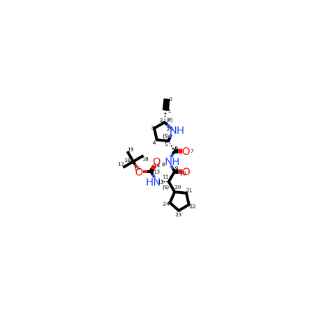 C#C[C@H]1CC[C@@H](C(=O)NC(=O)[C@@H](NC(=O)OC(C)(C)C)C2CCCC2)N1